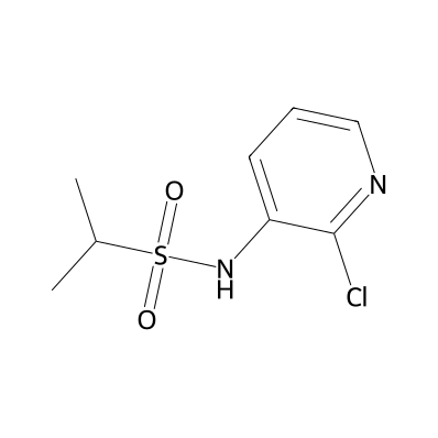 CC(C)S(=O)(=O)Nc1cccnc1Cl